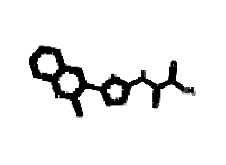 NC(=O)C(=O)Nc1nc(-c2cc3ccccc3oc2=O)cs1